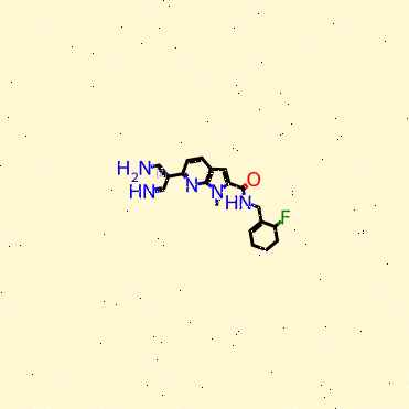 Cn1c(C(=O)NCC2=CCCCC2F)cc2ccc(/C(C=N)=C/N)nc21